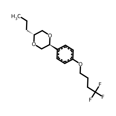 CCC[C@@H]1CO[C@@H](c2ccc(OCCCC(F)(F)F)cc2)CO1